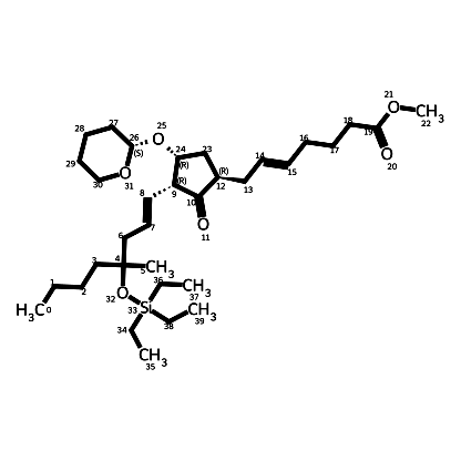 CCCCC(C)(CC=C[C@H]1C(=O)[C@H](CC=CCCCC(=O)OC)C[C@H]1O[C@H]1CCCCO1)O[Si](CC)(CC)CC